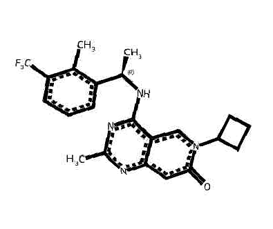 Cc1nc(N[C@H](C)c2cccc(C(F)(F)F)c2C)c2cn(C3CCC3)c(=O)cc2n1